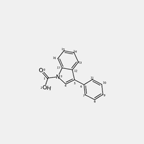 O=C(O)n1cc(-c2ccccc2)c2ccccc21